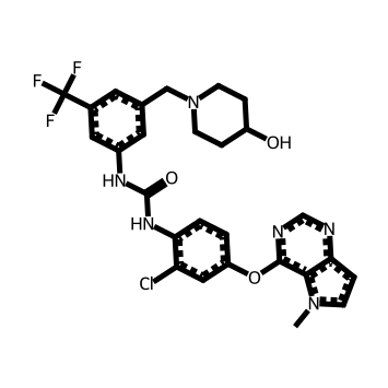 Cn1ccc2ncnc(Oc3ccc(NC(=O)Nc4cc(CN5CCC(O)CC5)cc(C(F)(F)F)c4)c(Cl)c3)c21